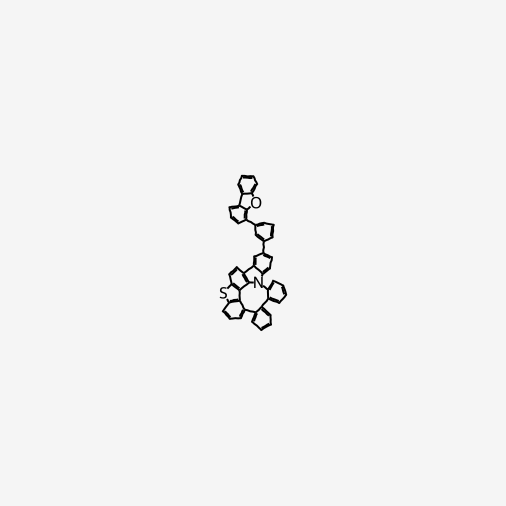 c1cc(-c2ccc3c(c2)c2ccc4sc5cccc6c7ccccc7c7ccccc7n3c2c4c56)cc(-c2cccc3c2oc2ccccc23)c1